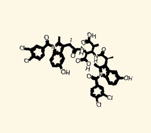 Cc1c([C@H](C)C(=O)NC(C(=O)O)C(NC(=O)[C@@H](C)c2c(C)n(C(=O)c3ccc(Cl)c(Cl)c3)c3ccc(O)cc23)C(C)C(=O)O)c2cc(O)ccc2n1C(=O)c1ccc(Cl)c(Cl)c1